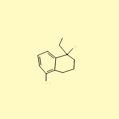 CCC1(N)CCCc2c(O)cccc21